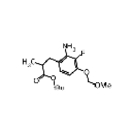 COCOc1ccc(CC(C)C(=O)OC(C)(C)C)c(N)c1F